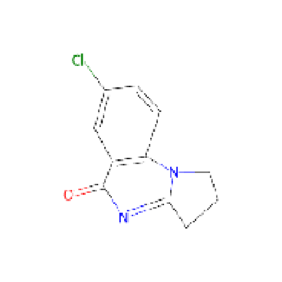 O=c1nc2n(c3ccc(Cl)cc13)CCC2